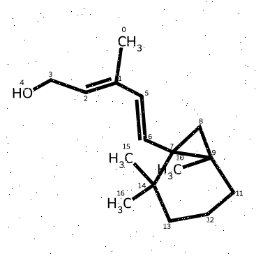 CC(=CCO)/C=C/C12CC1(C)CCCC2(C)C